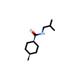 CC(C)CNC(=O)[C@H]1CC[C@@H](C)CC1